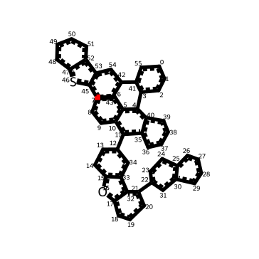 c1ccc(-c2c3ccccc3c(-c3ccc4oc5cccc(-c6ccc7ccccc7c6)c5c4c3)c3ccccc23)c(-c2ccc3sc4ccccc4c3c2)c1